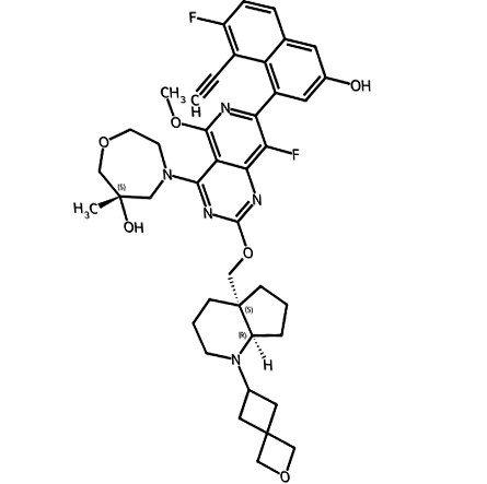 C#Cc1c(F)ccc2cc(O)cc(-c3nc(OC)c4c(N5CCOC[C@@](C)(O)C5)nc(OC[C@]56CCC[C@H]5N(C5CC7(COC7)C5)CCC6)nc4c3F)c12